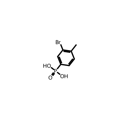 Cc1ccc(P(=O)(O)O)cc1Br